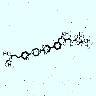 CCOC(O)CCc1ccc(N2CCN(c3ncc(-c4cccc(CN(C)C(=O)CNC(=O)OC(C)(C)C)c4)cn3)CC2)nc1